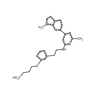 Cc1nc(NCCc2cccc(OCCCC(=O)O)c2)cc(-c2ccc3ccn(C)c3c2)n1